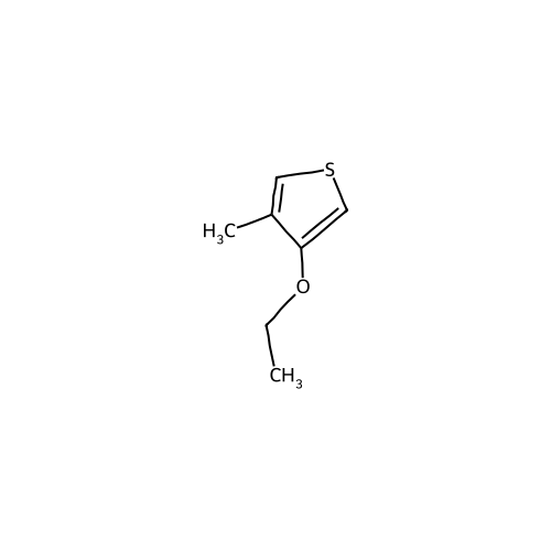 CCOc1cscc1C